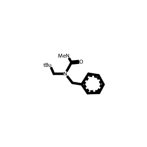 CNC(=O)N(Cc1ccccc1)CC(C)(C)C